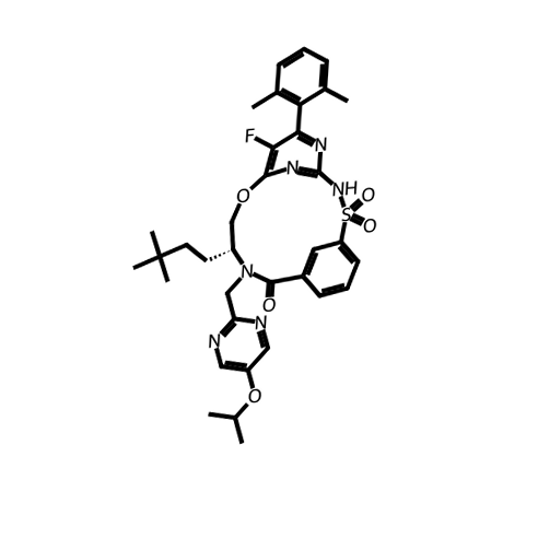 Cc1cccc(C)c1-c1nc2nc(c1F)OC[C@@H](CCC(C)(C)C)N(Cc1ncc(OC(C)C)cn1)C(=O)c1cccc(c1)S(=O)(=O)N2